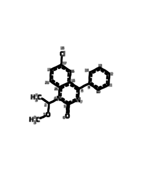 COC(C)n1c(=O)nc(-c2ccccc2)c2cc(Cl)ccc21